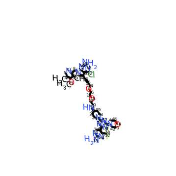 COc1c(C)cnc(Cn2cc(C#CCOCCOCCNC3CCN(c4nc(-c5cnc(N)nc5C(F)F)nc(N5CCOCC5)n4)CC3)c3c(Cl)nc(N)nc32)c1C